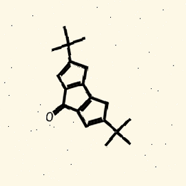 CC(C)(C)C1=CC2=C(C1)C1=C(C=C(C(C)(C)C)C1)C2=O